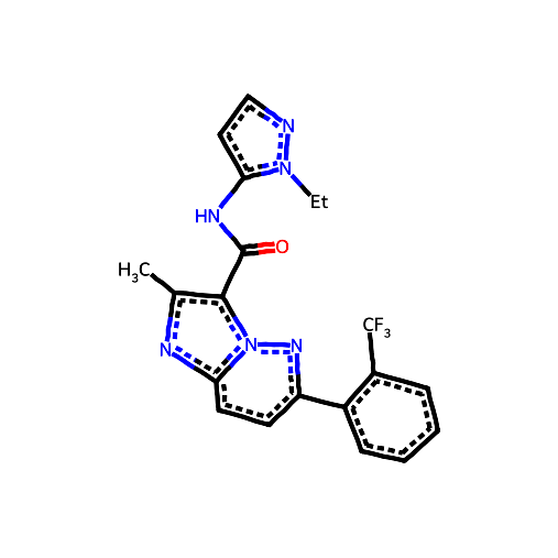 CCn1nccc1NC(=O)c1c(C)nc2ccc(-c3ccccc3C(F)(F)F)nn12